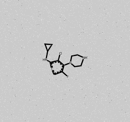 Fc1ccc(NC2CC2)c(Cl)c1N1CCNCC1